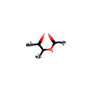 CCCC(=O)OC(C)C(=O)OC